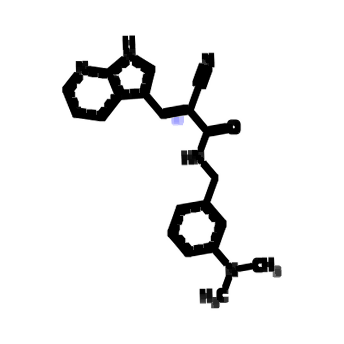 CN(C)c1cccc(CNC(=O)/C(C#N)=C/c2c[nH]c3ncccc23)c1